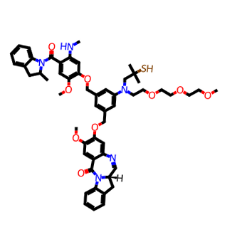 CNc1cc(OCc2cc(COc3cc4c(cc3OC)C(=O)N3c5ccccc5C[C@H]3C=N4)cc(N(CCOCCOCCOC)CC(C)(C)S)c2)c(OC)cc1C(=O)N1c2ccccc2CC1C